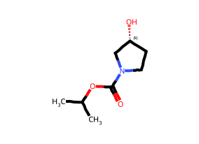 CC(C)OC(=O)N1CC[C@@H](O)C1